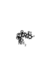 CCc1c2c(nc3ccc(C)cc13)-c1cc3c(c(=O)n1C2)COC(=O)[C@@]3(C)OC(=O)CN